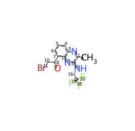 Cc1nc2cccc(C(=O)CBr)c2nc1NCC(F)(F)F